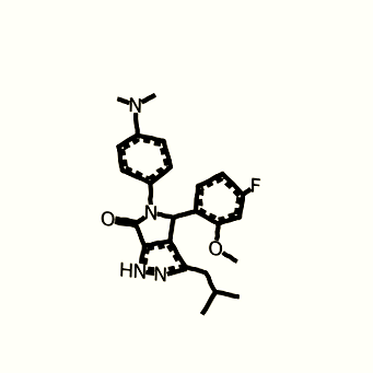 COc1cc(F)ccc1C1c2c(CC(C)C)n[nH]c2C(=O)N1c1ccc(N(C)C)cc1